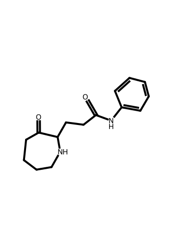 O=C(CCC1NCCCCC1=O)Nc1ccccc1